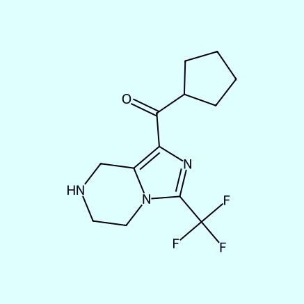 O=C(c1nc(C(F)(F)F)n2c1CNCC2)C1CCCC1